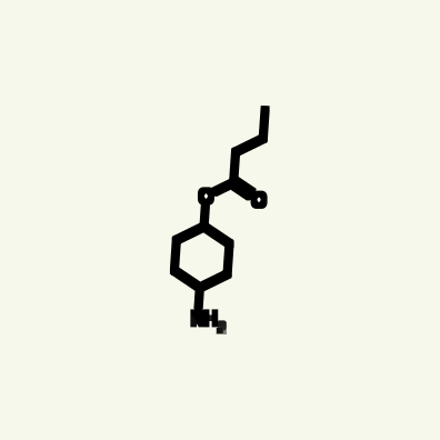 CCCC(=O)OC1CCC(N)CC1